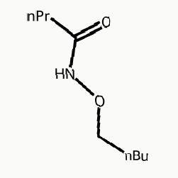 CCCCCONC(=O)CCC